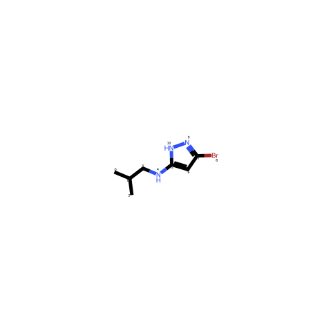 CC(C)CNc1cc(Br)n[nH]1